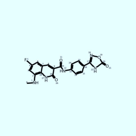 CNc1cc(F)cc2cc(C(=O)Nc3ccc(-c4noc(=O)[nH]4)cc3)c(=O)[nH]c12